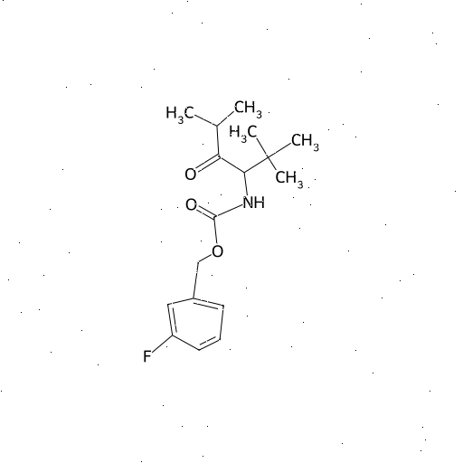 CC(C)C(=O)C(NC(=O)OCc1cccc(F)c1)C(C)(C)C